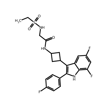 CCS(=O)(=O)NCC(=O)NC1CC(c2c(-c3ccc(F)cc3)[nH]c3c(F)cc(F)cc23)C1